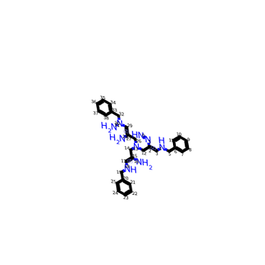 N=N/C(=C\NCc1ccccc1)CN(C/C(N)=C/NCc1ccccc1)C/C(N)=C/N(N)Cc1ccccc1